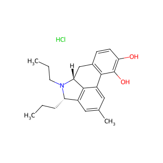 CCC[C@H]1c2cc(C)cc3c2[C@@H](Cc2ccc(O)c(O)c2-3)N1CCC.Cl